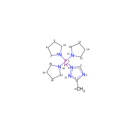 Cc1ncn([PH](N2CCCC2)(N2CCCC2)N2CCCC2)n1